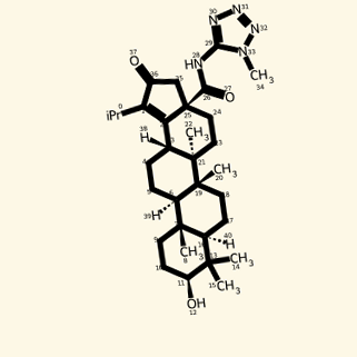 CC(C)C1=C2[C@H]3CC[C@@H]4[C@@]5(C)CC[C@H](O)C(C)(C)[C@@H]5CC[C@@]4(C)[C@]3(C)CC[C@@]2(C(=O)Nc2nnnn2C)CC1=O